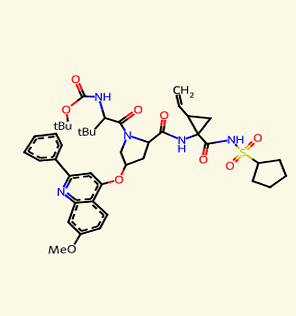 C=CC1CC1(NC(=O)C1CC(Oc2cc(-c3ccccc3)nc3cc(OC)ccc23)CN1C(=O)C(NC(=O)OC(C)(C)C)C(C)(C)C)C(=O)NS(=O)(=O)C1CCCC1